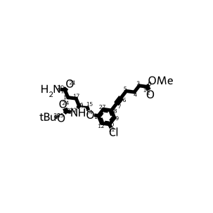 COC(=O)CCCC#Cc1cc(Cl)cc(OC[C@H](CCC(N)=O)NC(=O)OC(C)(C)C)c1